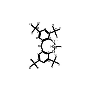 C[SiH]1Oc2c(cc(C(C)(C)C)cc2C(C)(C)C)Cc2cc(C(C)(C)C)cc(C(C)(C)C)c2O1